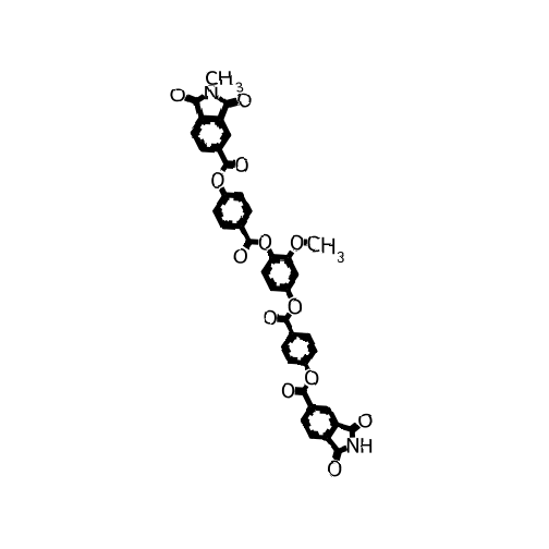 COc1cc(OC(=O)c2ccc(OC(=O)c3ccc4c(c3)C(=O)NC4=O)cc2)ccc1OC(=O)c1ccc(OC(=O)c2ccc3c(c2)C(=O)N(C)C3=O)cc1